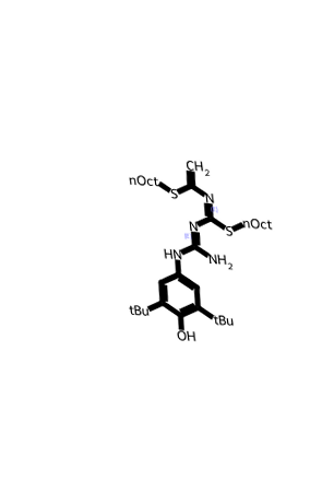 C=C(/N=C(\N=C(/N)Nc1cc(C(C)(C)C)c(O)c(C(C)(C)C)c1)SCCCCCCCC)SCCCCCCCC